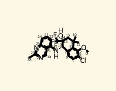 COc1c(Cl)ccc2c1C(C)(C)C[C@](O)(C(F)(F)F)[C@H]2Nc1cccc2nc(C)ncc12